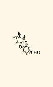 O=Cc1ccc(Oc2cc(F)c(F)c(F)c2)c(F)c1